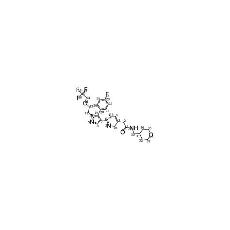 O=C(CC1=CSC(c2cnn(CCOCC(F)(F)F)c2-c2ccc(F)cc2)=NC1)NCC1CCOCC1